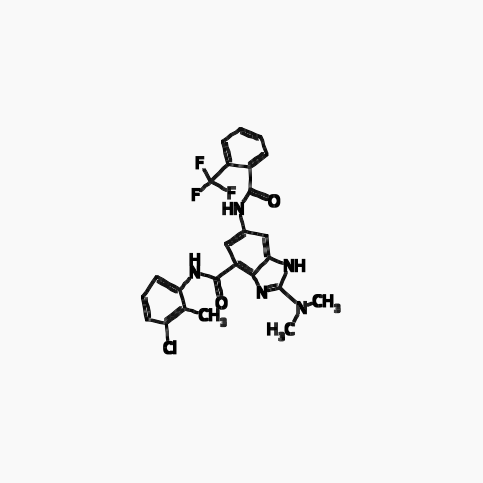 Cc1c(Cl)cccc1NC(=O)c1cc(NC(=O)c2ccccc2C(F)(F)F)cc2[nH]c(N(C)C)nc12